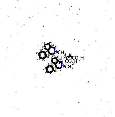 CN1CC[C@@]2(c3ccccc3)CCC[C@@H]2C1.CN1CC[C@@]2(c3ccccc3)CCC[C@@H]2C1.O=C(O)/C=C\C(=O)O